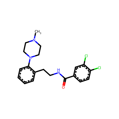 CN1CCN(c2ccccc2CCNC(=O)c2ccc(Cl)c(Cl)c2)CC1